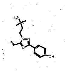 CCc1nc(-c2ccc(O)cc2)nn1CCC(C)(C)N